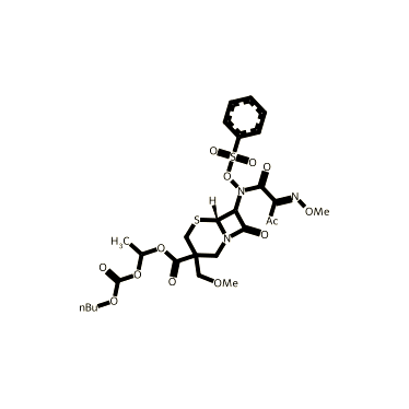 CCCCOC(=O)OC(C)OC(=O)C1(COC)CS[C@@H]2C(N(OS(=O)(=O)c3ccccc3)C(=O)C(=NOC)C(C)=O)C(=O)N2C1